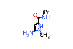 CC(C)NC(=O)c1cc(N)n(C)n1